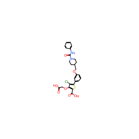 O=C(O)COc1c(C(=O)O)sc(-c2cccc(OCC3CCN(C(=O)Nc4ccccc4)CC3)c2)c1Cl